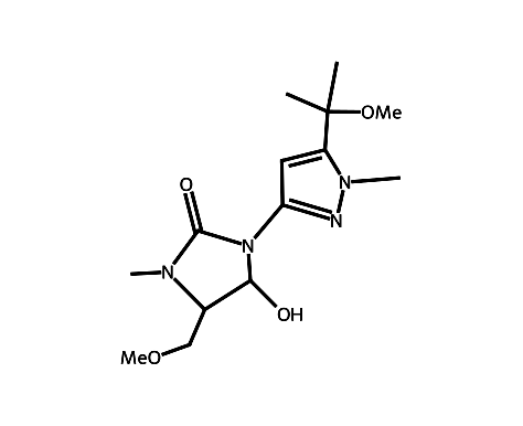 COCC1C(O)N(c2cc(C(C)(C)OC)n(C)n2)C(=O)N1C